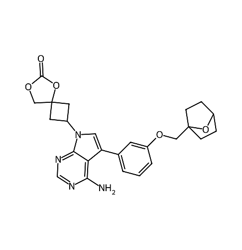 Nc1ncnc2c1c(-c1cccc(OCC34CCC(CC3)O4)c1)cn2C1CC2(COC(=O)O2)C1